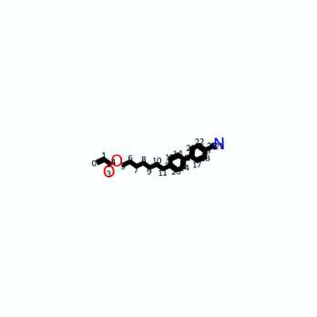 C=CC(=O)OCCCCCCCc1ccc(-c2ccc(C#N)cc2)cc1